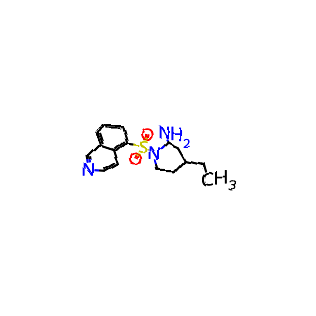 CCC1CCN(S(=O)(=O)c2cccc3cnccc23)C(N)C1